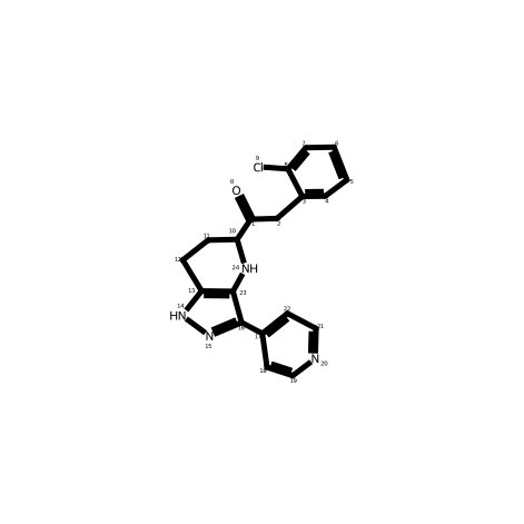 O=C(Cc1ccccc1Cl)C1CCc2[nH]nc(-c3ccncc3)c2N1